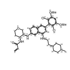 C=CC(=O)N[C@H]1CCOC[C@H]1Nc1cc2c(NCCN3CCN(C)CC3)nc(-c3c(Cl)c(OC)cc(OC)c3Cl)cc2cn1